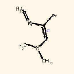 C=N/C(=C\N(C)C)C(C)C